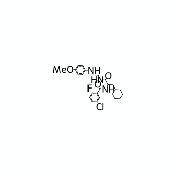 COc1ccc(NCCNC(=O)C(CC2CCCCC2)NC(=O)c2cc(Cl)ccc2F)cc1